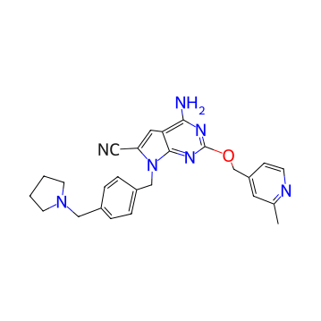 Cc1cc(COc2nc(N)c3cc(C#N)n(Cc4ccc(CN5CCCC5)cc4)c3n2)ccn1